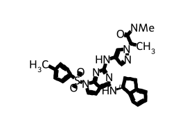 CNC(=O)C(C)n1cc(Nc2nc(N[C@H]3CCc4ccccc43)c3ccn(S(=O)(=O)c4ccc(C)cc4)c3n2)cn1